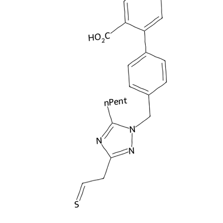 CCCCCc1nc(CC=S)nn1Cc1ccc(-c2ccccc2C(=O)O)cc1